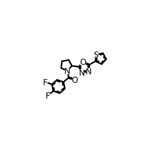 O=C(c1ccc(F)c(F)c1)N1CCCC1c1nnc(-c2cccs2)o1